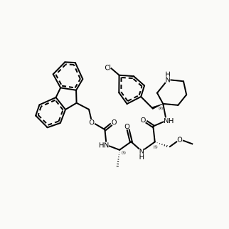 COC[C@H](NC(=O)[C@H](C)NC(=O)OCC1c2ccccc2-c2ccccc21)C(=O)N[C@@]1(Cc2ccc(Cl)cc2)CCCNC1